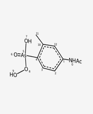 CC(=O)Nc1ccc([As](=O)(O)OO)c(C)c1